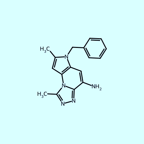 Cc1cc2c(cc(N)c3nnc(C)n32)n1Cc1ccccc1